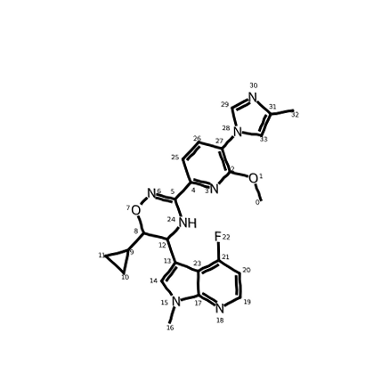 COc1nc(C2=NOC(C3CC3)C(c3cn(C)c4nccc(F)c34)N2)ccc1-n1cnc(C)c1